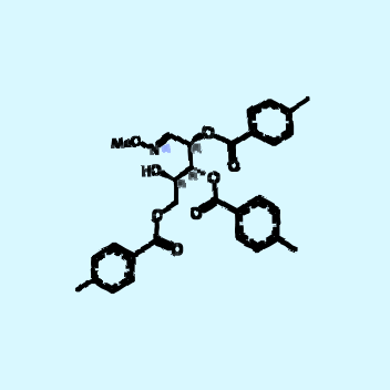 CO/N=C/[C@@H](OC(=O)c1ccc(C)cc1)[C@H](OC(=O)c1ccc(C)cc1)[C@H](O)COC(=O)c1ccc(C)cc1